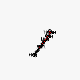 CN[C@@H](CCCCNC(=O)CCC(=O)NCCCOCCOCCCNC(=O)CCCCCCCCCCC(=O)O)C(=O)O